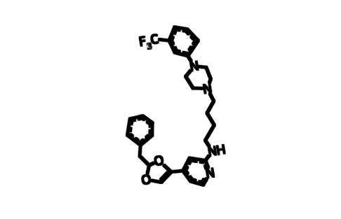 FC(F)(F)c1cccc(N2CCN(CCCCNc3cc(C4=COC(Cc5ccccc5)O4)ccn3)CC2)c1